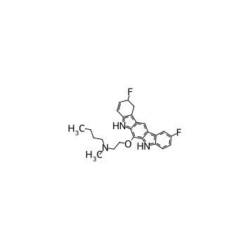 CCCCN(C)CCOc1c2[nH]c3c(c2cc2c1[nH]c1ccc(F)cc12)CC(F)C=C3